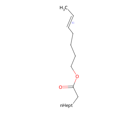 C/C=C/CCCCOC(=O)CCCCCCCC